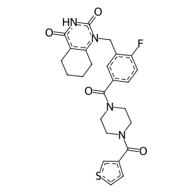 O=C(c1ccsc1)N1CCN(C(=O)c2ccc(F)c(Cn3c4c(c(=O)[nH]c3=O)CCCC4)c2)CC1